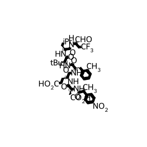 Cc1ccccc1C[C@H](NC(=O)[C@H](CCC(=O)O)NC(=O)[C@H](CC(=O)O)NC(=O)[C@@H](C)c1ccc([N+](=O)[O-])cc1)C(=O)N[C@H](C(=O)N[C@@H](CC(C)C)C(=O)N[C@H](C=O)CC(F)(F)F)C(C)(C)C